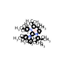 CC(C)(C)c1ccc(N2c3cc(N4c5ccc(C(C)(C)C)cc5C5(C)CCCCC45C)cc4c3B3c5c(cccc5C(C)(C)c5cc(C(C)(C)C)cc2c53)N4c2cc(C(C)(C)C)cc(C(C)(C)C)c2)cc1